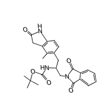 Cc1c(CC(CN2C(=O)c3ccccc3C2=O)NC(=O)OC(C)(C)C)ccc2c1CC(=O)N2